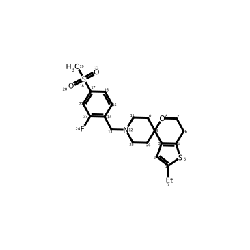 CCc1cc2c(s1)CCOC21CCN(Cc2ccc(S(C)(=O)=O)cc2F)CC1